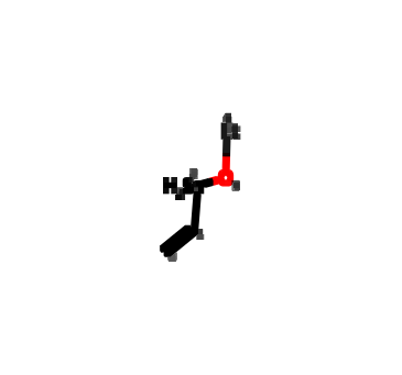 C=[CH][SnH2][O]CC